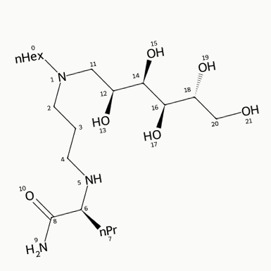 CCCCCCN(CCCN[C@@H](CCC)C(N)=O)C[C@H](O)[C@@H](O)[C@H](O)[C@H](O)CO